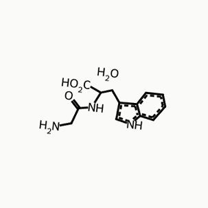 NCC(=O)NC(Cc1c[nH]c2ccccc12)C(=O)O.O